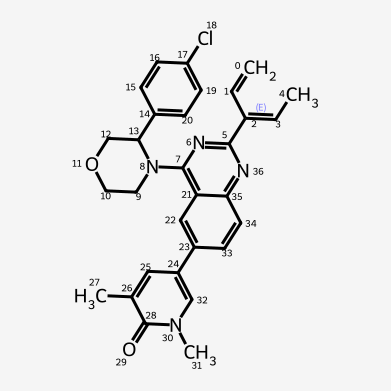 C=C/C(=C\C)c1nc(N2CCOCC2c2ccc(Cl)cc2)c2cc(-c3cc(C)c(=O)n(C)c3)ccc2n1